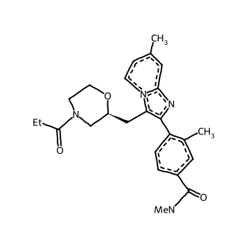 CCC(=O)N1CCO[C@@H](Cc2c(-c3ccc(C(=O)NC)cc3C)nc3cc(C)ccn23)C1